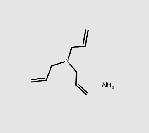 C=CCN(CC=C)CC=C.[AlH3]